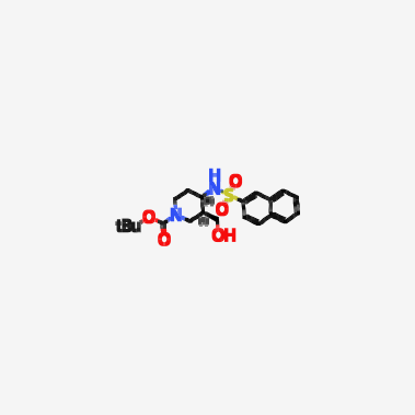 CC(C)(C)OC(=O)N1CC[C@@H](NS(=O)(=O)c2ccc3ccccc3c2)[C@@H](CO)C1